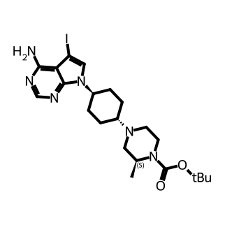 C[C@H]1CN([C@H]2CC[C@H](n3cc(I)c4c(N)ncnc43)CC2)CCN1C(=O)OC(C)(C)C